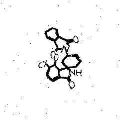 O=C1NC2(CCC[C@H](N3C(=O)c4ccccc4C3=O)C2)C2C(=O)C(Cl)=CC=C12